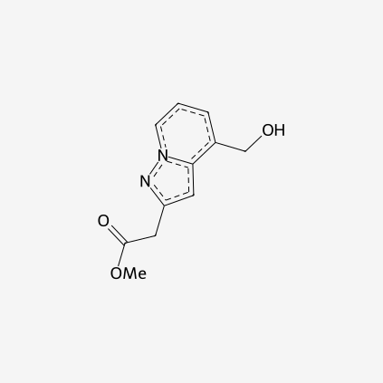 COC(=O)Cc1cc2c(CO)cccn2n1